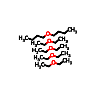 CCCCOCCCC.CCOCC.CCOCC.CCOCC.CCOCC